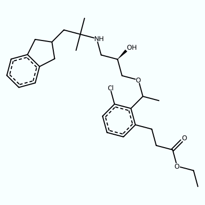 CCOC(=O)CCc1cccc(Cl)c1C(C)OC[C@H](O)CNC(C)(C)CC1Cc2ccccc2C1